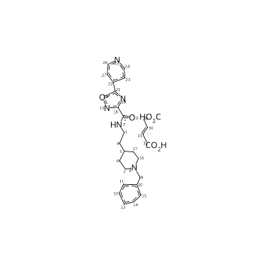 O=C(NCCC1CCN(Cc2ccccc2)CC1)c1noc(-c2ccncc2)n1.O=C(O)/C=C/C(=O)O